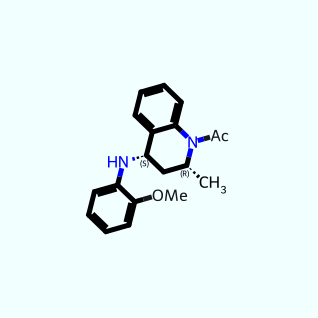 COc1ccccc1N[C@H]1C[C@@H](C)N(C(C)=O)c2ccccc21